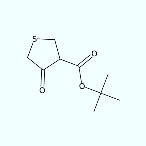 CC(C)(C)OC(=O)C1CSCC1=O